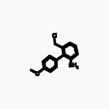 COc1ccc(-c2c([SiH3])cccc2CCl)cc1